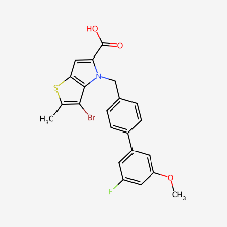 COc1cc(F)cc(-c2ccc(Cn3c(C(=O)O)cc4sc(C)c(Br)c43)cc2)c1